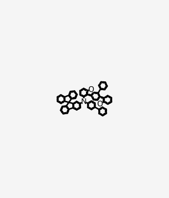 c1ccc(-c2ccc(N(c3ccc4c(c3)C3(c5ccccc5-c5ccccc53)c3ccccc3-4)c3cccc4oc5c(-c6ccccc6)c6c(cc5c34)oc3ccccc36)cc2)cc1